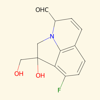 O=CC1C=Cc2ccc(F)c3c2N1CC3(O)CO